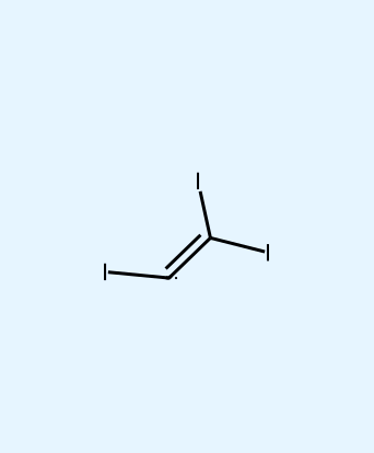 I[C]=C(I)I